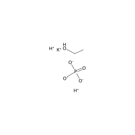 CCO.O=P([O-])([O-])[O-].[H+].[H+].[K+]